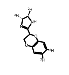 [2H]c1cc2c(cc1[2H])OC(C1=N[C@H]([2H])[C@@H]([2H])N1)CO2